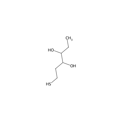 CCC(O)C(O)CCS